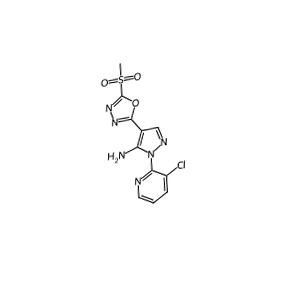 CS(=O)(=O)c1nnc(-c2cnn(-c3ncccc3Cl)c2N)o1